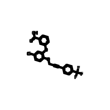 O=C(O)c1cccc(Oc2cc(Cl)ccc2OCC#Cc2ccc(C(F)(F)F)cc2)c1